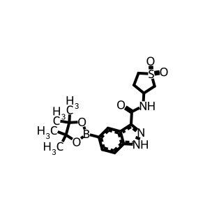 CC1(C)OB(c2ccc3[nH]nc(C(=O)NC4CCS(=O)(=O)C4)c3c2)OC1(C)C